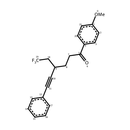 COc1ccc(C(=O)CCC(C#Cc2ccccc2)CC(F)(F)F)cc1